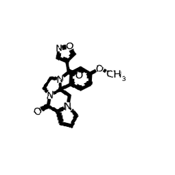 COc1ccc(C23CN4CCC=C4C(=O)N2CCN3C(=O)c2cnoc2)cc1